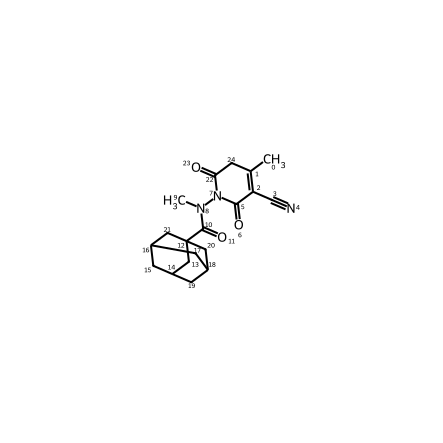 CC1=C(C#N)C(=O)N(N(C)C(=O)C23CC4CC(CC(C4)C2)C3)C(=O)C1